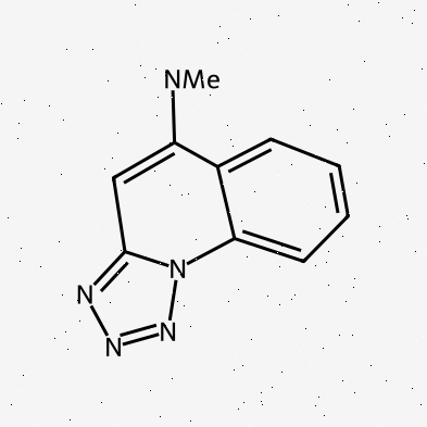 CNc1cc2nnnn2c2ccccc12